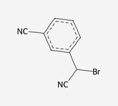 N#Cc1cccc(C(Br)C#N)c1